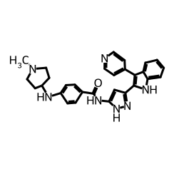 CN1CCC(Nc2ccc(C(=O)Nc3cc(-c4[nH]c5ccccc5c4-c4ccncc4)n[nH]3)cc2)CC1